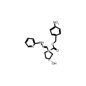 O=C(OCc1ccc([N+](=O)[O-])cc1)[N+]1(C=NNc2ccccn2)CC[C@@H](O)C1